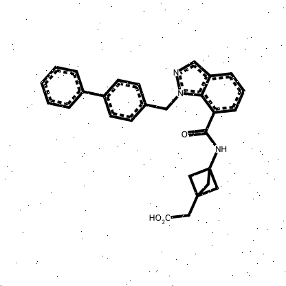 O=C(O)CC12CC(NC(=O)c3cccc4cnn(Cc5ccc(-c6ccccc6)cc5)c34)(C1)C2